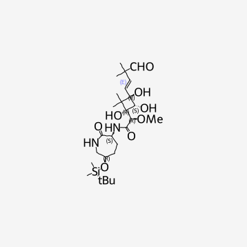 CO[C@@H](C(=O)N[C@H]1CC[C@@H](O[Si](C)(C)C(C)(C)C)CNC1=O)[C@]1(O)[C@@H](O)[C@@](O)(/C=C/C(C)(C)C=O)C1(C)C